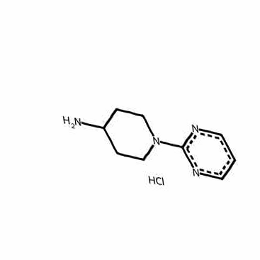 Cl.NC1CCN(c2ncccn2)CC1